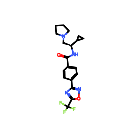 O=C(N[C@@H](CN1CCCC1)C1CC1)c1ccc(-c2noc(C(F)(F)F)n2)cc1